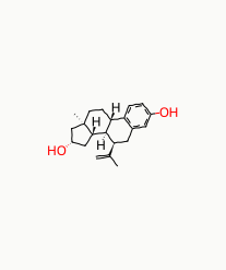 C=C(C)[C@@H]1Cc2cc(O)ccc2[C@H]2CC[C@]3(C)C[C@@H](O)C[C@H]3[C@@H]21